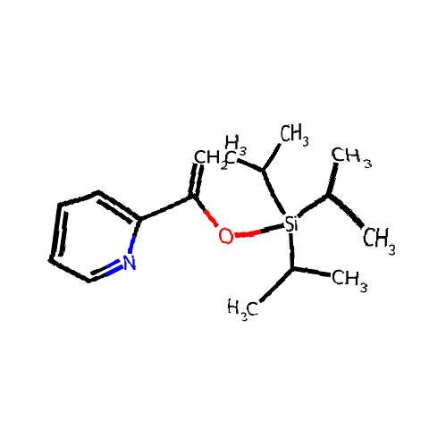 C=C(O[Si](C(C)C)(C(C)C)C(C)C)c1ccccn1